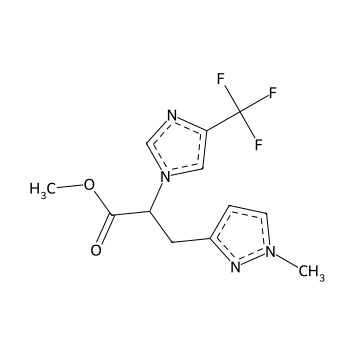 COC(=O)C(Cc1ccn(C)n1)n1cnc(C(F)(F)F)c1